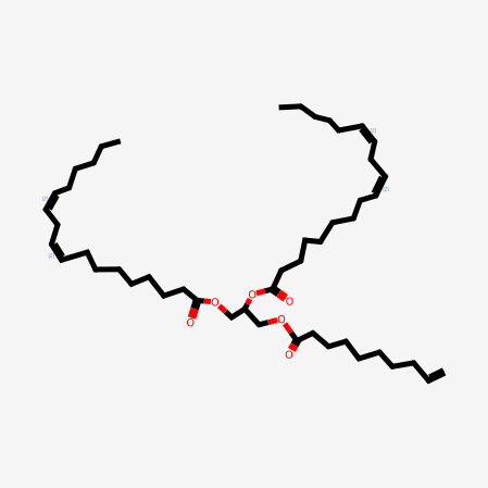 C=CCCCCCCCC(=O)OCC(COC(=O)CCCCCCC/C=C\C/C=C\CCCCC)OC(=O)CCCCCCC/C=C\C/C=C\CCCCC